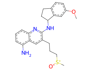 COc1ccc2c(c1)C(Nc1nc3cccc(N)c3cc1CCC[S+](C)[O-])CC2